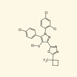 CCSc1c(-c2nnc(C3(C(F)(F)F)CCC3)o2)nn(-c2ccc(Cl)cc2Cl)c1-c1ccc(Cl)cc1